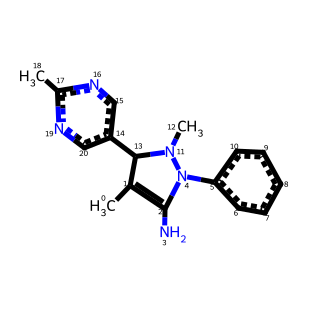 CC1=C(N)N(c2ccccc2)N(C)C1c1cnc(C)nc1